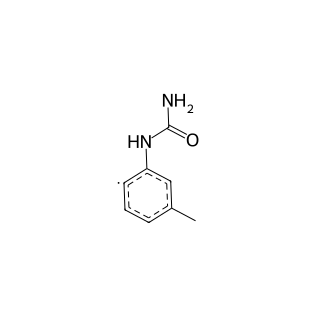 Cc1cc[c]c(NC(N)=O)c1